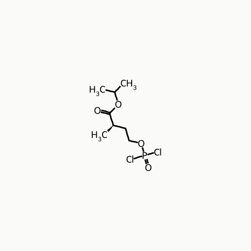 CC(C)OC(=O)[C@H](C)CCOP(=O)(Cl)Cl